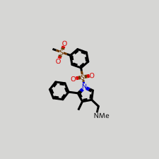 CNCc1cn(S(=O)(=O)c2cccc(S(C)(=O)=O)c2)c(-c2ccccc2)c1C